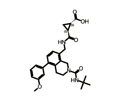 COc1cccc(-c2ccc(CNC(=O)[C@H]3C[C@@H]3C(=O)O)c3c2CCN(C(=O)NC(C)(C)C)C3)c1